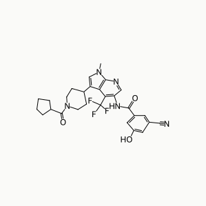 Cn1cc(C2CCN(C(=O)C3CCCC3)CC2)c2c(C(F)(F)F)c(NC(=O)c3cc(O)cc(C#N)c3)cnc21